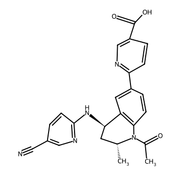 CC(=O)N1c2ccc(-c3ccc(C(=O)O)cn3)cc2[C@H](Nc2ccc(C#N)cn2)C[C@H]1C